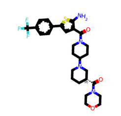 Nc1sc(-c2ccc(C(F)(F)F)cc2)cc1C(=O)N1CCC(N2CCC[C@@H](C(=O)N3CCOCC3)C2)CC1